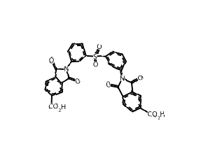 O=C(O)c1ccc2c(c1)C(=O)N(c1cccc(S(=O)(=O)c3cccc(N4C(=O)c5ccc(C(=O)O)cc5C4=O)c3)c1)C2=O